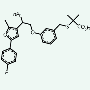 CCCC(COc1cccc(CSC(C)(C)C(=O)O)c1)c1cc(-c2ccc(F)cc2)oc1C